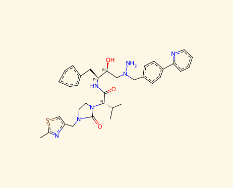 Cc1nc(CN2CCN([C@H](C(=O)N[C@@H](Cc3ccccc3)[C@@H](O)CN(N)Cc3ccc(-c4ccccn4)cc3)C(C)C)C2=O)cs1